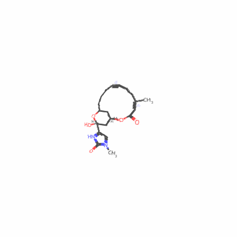 C/C1=C/C(=O)O[C@@H]2CC(CCC/C=C\CC1)O[C@@](O)(c1cn(C)c(=O)[nH]1)C2